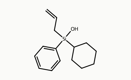 C=CC[Si](O)(c1ccccc1)C1CCCCC1